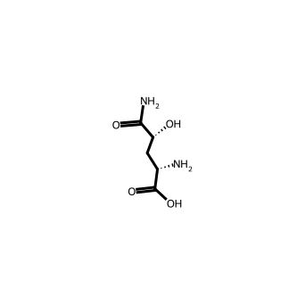 NC(=O)[C@H](O)C[C@H](N)C(=O)O